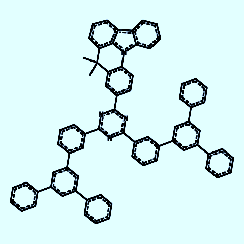 CC1(C)c2cc(-c3nc(-c4cccc(-c5cc(-c6ccccc6)cc(-c6ccccc6)c5)c4)nc(-c4cccc(-c5cc(-c6ccccc6)cc(-c6ccccc6)c5)c4)n3)ccc2-n2c3ccccc3c3cccc1c32